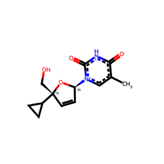 Cc1cn([C@H]2C=C[C@](CO)(C3CC3)O2)c(=O)[nH]c1=O